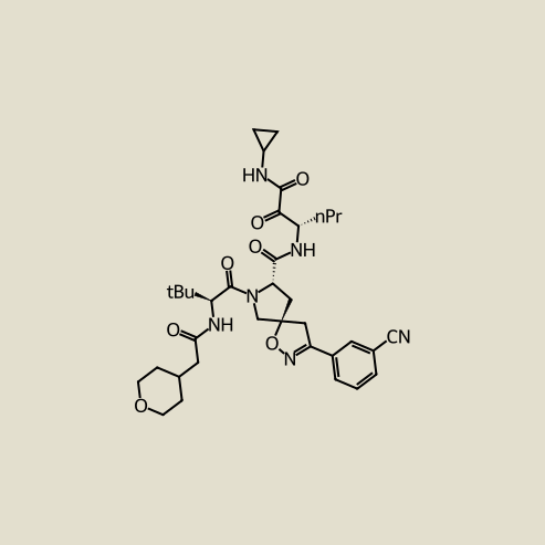 CCC[C@H](NC(=O)[C@@H]1C[C@]2(CC(c3cccc(C#N)c3)=NO2)CN1C(=O)[C@@H](NC(=O)CC1CCOCC1)C(C)(C)C)C(=O)C(=O)NC1CC1